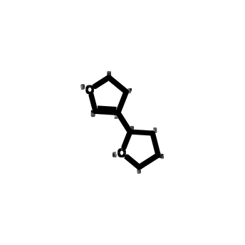 [C]1=C(C2CCCO2)CCO1